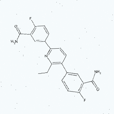 CCc1nc(-c2ccc(F)c(C(N)=O)c2)ccc1-c1ccc(F)c(C(N)=O)c1